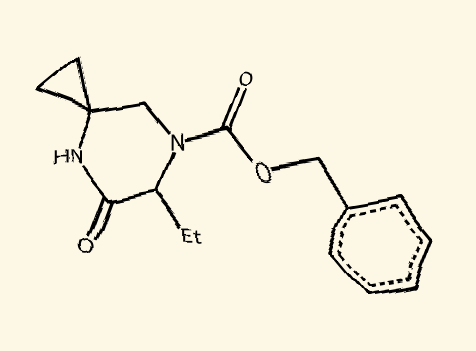 CCC1C(=O)NC2(CC2)CN1C(=O)OCc1ccccc1